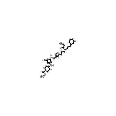 CC(C)(C)OC(=O)N(CCCC1CCCCC1)CCCn1cc(CNc2nc(Cl)cc(NC3CCN(C(=O)OC(C)(C)C)CC3)n2)nn1